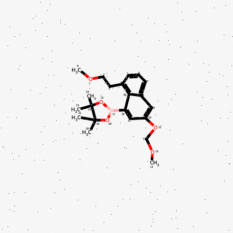 COCCc1cccc2cc(OCOC)cc(B3OC(C)(C)C(C)(C)O3)c12